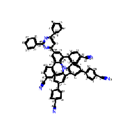 N#Cc1ccc(-c2ccc3c(c2)c2cc(-c4ccc(C#N)cc4)ccc2n3-c2c(-c3ccc(C#N)cc3)cc(-c3cc(-c4ccccc4)nc(-c4ccccc4)n3)cc2-c2ccc(C#N)cc2)cc1